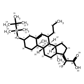 CCCC1C=C2CC(O[Si](C)(C)C(C)(C)C)CC[C@]2(C)[C@H]2CC[C@]3(C)/C(=C(\F)C(=O)O)CC[C@H]3[C@H]12